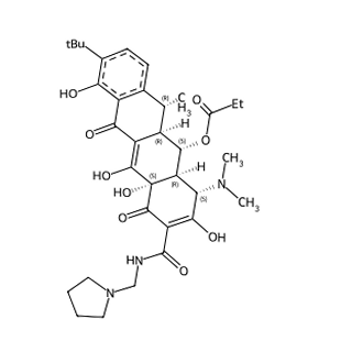 CCC(=O)O[C@H]1[C@H]2C(=C(O)[C@]3(O)C(=O)C(C(=O)NCN4CCCC4)=C(O)[C@@H](N(C)C)[C@H]13)C(=O)c1c(ccc(C(C)(C)C)c1O)[C@@H]2C